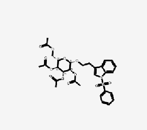 CC(=O)OC[C@@H]1O[C@H](OCCc2cn(S(=O)(=O)c3ccccc3)c3ccccc23)[C@@H](OC(C)=O)[C@H](OC(C)=O)[C@H]1OC(C)=O